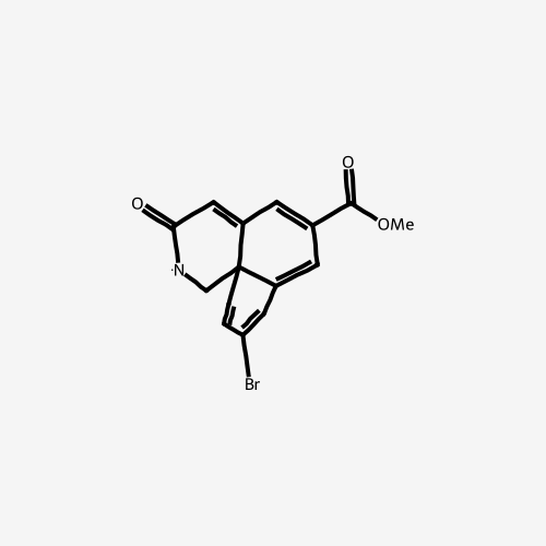 COC(=O)C1=CC2=CC(=O)[N]CC23C=CC(Br)=CC3=C1